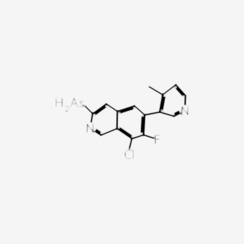 Cc1ccncc1-c1cc2cc([AsH2])ncc2c(Cl)c1F